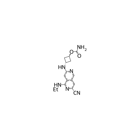 CCNc1nc(C#N)cc2cnc(N[C@H]3C[C@H](OC(N)=O)C3)cc12